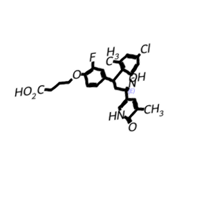 Cc1cc(Cl)ccc1C(C/C(=N\O)c1c[nH]c(=O)c(C)c1)c1ccc(OCCCC(=O)O)c(F)c1